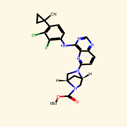 CC(C)(C)OC(=O)N1C[C@@H]2C[C@H]1CN2c1ccc2ncnc(Nc3ccc(C4(C#N)CC4)c(Cl)c3F)c2n1